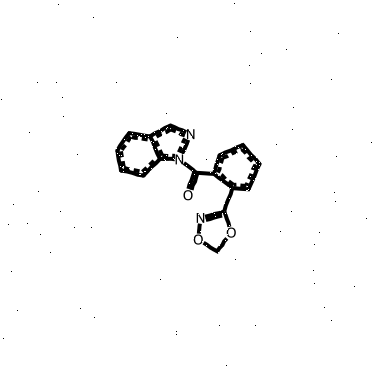 O=C(c1ccccc1C1=NOCO1)n1ncc2ccccc21